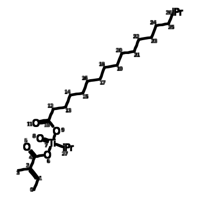 CC=C(C)C(=O)[O][Ti](=[O])([O]C(=O)CCCCCCCCCCCCCCC(C)C)[CH](C)C